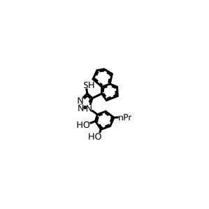 CCCc1cc(O)c(O)c(-n2nnc(S)c2-c2cccc3ccccc23)c1